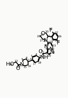 O=C(Nc1ccc(C2CCN(C(=O)CO)CC2)cc1)c1cnn2ccc(N3CCOCC3c3cc(F)ccc3F)nc12